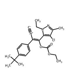 [C-]#[N+]C(=C(OC(=O)OCC)c1c(Cl)c(C)nn1CC)c1ccc(C(C)(C)C)cc1